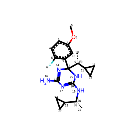 COc1ccc(F)c(C2([C@H](C)C3CC3)N=C(N)N=C(N[C@H](C)C3CC3)N2)c1